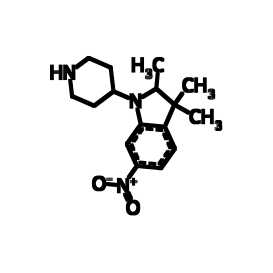 CC1N(C2CCNCC2)c2cc([N+](=O)[O-])ccc2C1(C)C